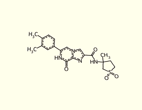 Cc1ccc(-c2cn3cc(C(=O)NC4(C)CCS(=O)(=O)C4)nc3c(=O)[nH]2)cc1C